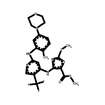 COC(=O)c1sc(SC)nc1Nc1cc(Nc2cc(N3CCOCC3)ccc2C)ncc1C(F)(F)F